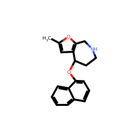 Cc1cc2c(o1)CNCCC2Oc1cccc2ccccc12